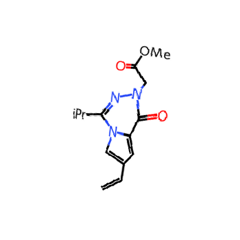 C=Cc1cc2c(=O)n(CC(=O)OC)nc(C(C)C)n2c1